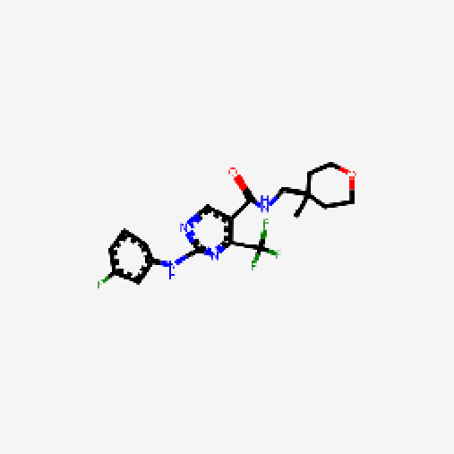 CC1(CNC(=O)c2cnc(Nc3cccc(F)c3)nc2C(F)(F)F)CCOCC1